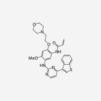 C=CC(=O)Nc1cc(Nc2nccc(-c3csc4ccccc34)n2)c(OC)cc1OCCN1CCOCC1